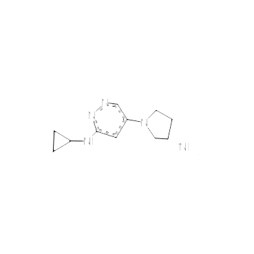 N[C@H]1CCN(c2cnnc(NC3CC3)c2)C1